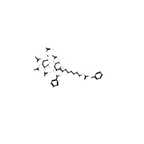 CC(=O)N[C@@H]1[C@@H](O[C@@H]2O[C@H](COC(C)=O)[C@@H](OC(C)=O)[C@H](OC(C)=O)[C@H]2NC(C)=O)[C@@H]2OC(c3ccccc3)OC(CCCCCCNC(=O)OCc3ccccc3)[C@H]2O[C@H]1O